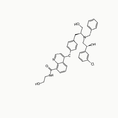 O=C(NCCO)c1cccc2c(Oc3ccc(C[C@@H](CO)N(Cc4ccccc4)C[C@@H](O)c4cccc(Cl)c4)cc3)ccnc12